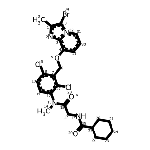 Cc1nc2c(OCc3c(Cl)ccc(N(C)C(=O)CNC(=O)C4CCCCC4)c3Cl)cccn2c1Br